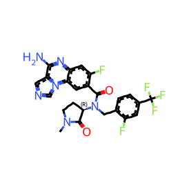 CN1CC[C@@H](N(Cc2ccc(C(F)(F)F)cc2F)C(=O)c2cc3c(cc2F)nc(N)c2cncn23)C1=O